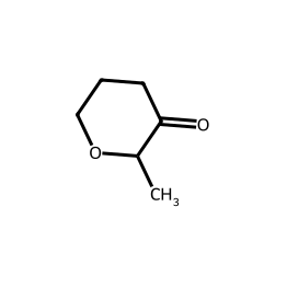 CC1OCCCC1=O